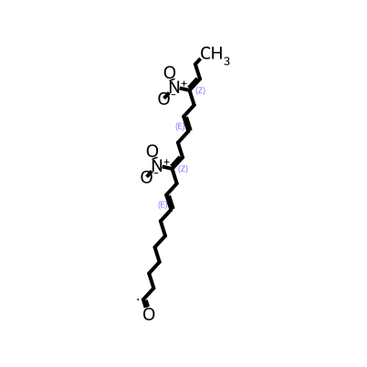 CC/C=C(/C/C=C/C/C=C(/C/C=C/CCCCCC[C]=O)[N+](=O)[O-])[N+](=O)[O-]